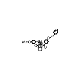 CCN(Nc1ccc(OC)cc1)C(=O)[C@@H]1CCCC[C@@H]1NC(=O)c1ccc(OCCCc2ccncc2)cc1